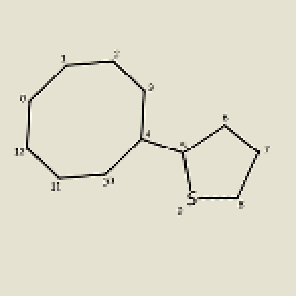 C1CCCC(C2CCCS2)CCC1